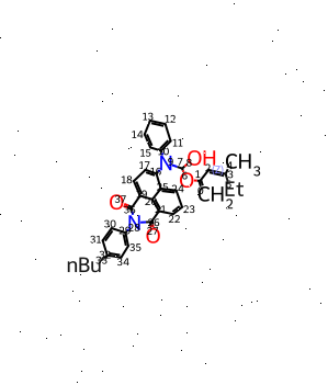 C=C(/C=C(/C)CC)OC(O)N(c1ccccc1)c1ccc2c3c(cccc13)C(=O)N(c1ccc(CCCC)cc1)C2=O